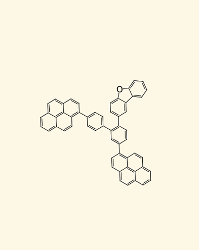 c1cc2ccc3ccc(-c4ccc(-c5cc(-c6ccc7ccc8cccc9ccc6c7c89)ccc5-c5ccc6oc7ccccc7c6c5)cc4)c4ccc(c1)c2c34